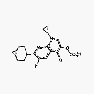 O=C(O)Oc1cn(C2CC2)c2nc(N3CCOCC3)c(F)cc2c1=O